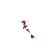 CC(=O)N[C@H]1C(C)(COC[C@]2(C)OC(C)(CO)[C@](C)(O)C(C)(O)C2(C)O)[C@H](O)C(C)(CO)O[C@@]1(C)COC[C@]1(C)C(C)(C)O[C@](C)(OC(=O)CCCCC2SC[C@@H]3NC(=O)N[C@H]23)[C@@H](O)C1(C)O